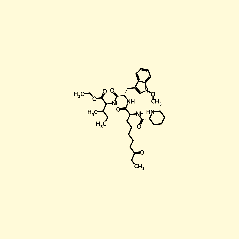 CCOC(=O)[C@@H](NC(=O)[C@H](Cc1cn(OC)c2ccccc12)NC(=O)[C@H](CCCCCC(=O)CC)NC(=O)[C@H]1CCCCN1)C(C)CC